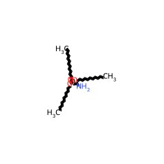 CCCCCCCCCCCCO[Si](CCN)(OCCCCCCCCCCCC)OCCCCCCCCCCCC